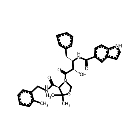 Cc1ccccc1CNC(=O)[C@H]1N(C(=O)[C@@H](O)[C@H](Cc2ccccc2)NC(=O)c2ccc3[nH]ccc3c2)CSC1(C)C